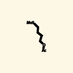 CSCC[CH]COC(C)=O